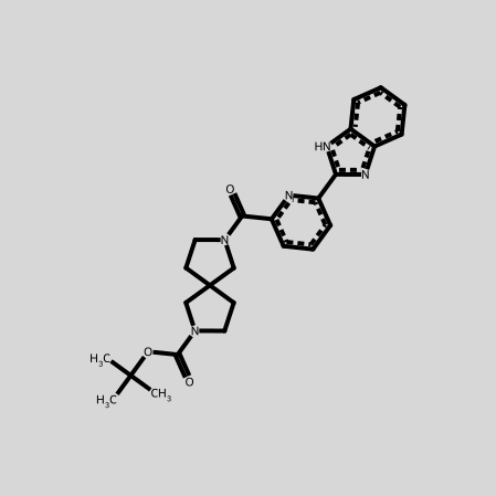 CC(C)(C)OC(=O)N1CCC2(CCN(C(=O)c3cccc(-c4nc5ccccc5[nH]4)n3)C2)C1